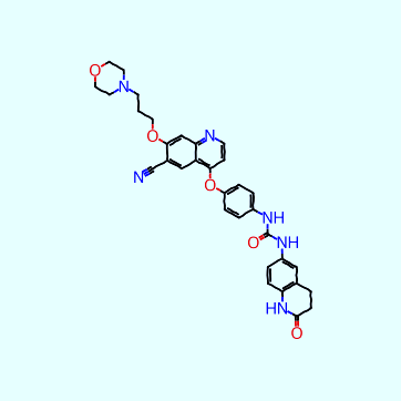 N#Cc1cc2c(Oc3ccc(NC(=O)Nc4ccc5c(c4)CCC(=O)N5)cc3)ccnc2cc1OCCCN1CCOCC1